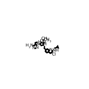 CC1(C)O[C@@H]2[C@@H](CCc3ccc4cc(Cl)c(NCC5CC5)nc4c3)C[C@@H](n3ccc4c(N)ncnc43)[C@@H]2O1